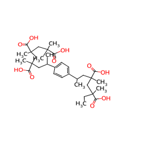 CCC(C)(CC(C)(CC(C)c1ccc(C(C)CC(C)(CC(C)(CC(C)(C)C(=O)O)C(=O)O)C(=O)O)cc1)C(=O)O)C(=O)O